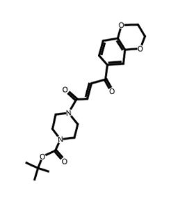 CC(C)(C)OC(=O)N1CCN(C(=O)/C=C/C(=O)c2ccc3c(c2)OCCO3)CC1